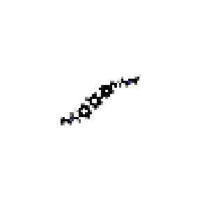 CC/C=C/COCc1ccc(C2CCC([C@H]3CC[C@H](C/C=C/CC)CC3)CC2)cc1